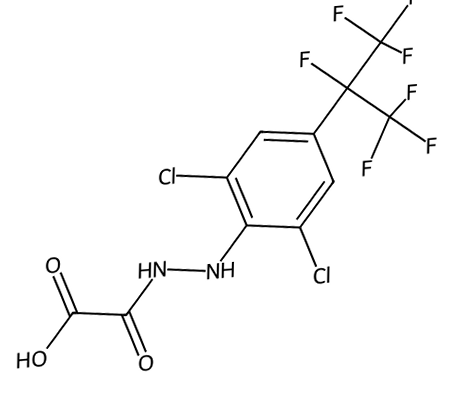 O=C(O)C(=O)NNc1c(Cl)cc(C(F)(C(F)(F)F)C(F)(F)F)cc1Cl